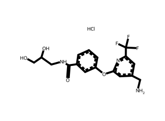 Cl.NCc1cc(Oc2cccc(C(=O)NCC(O)CO)c2)nc(C(F)(F)F)c1